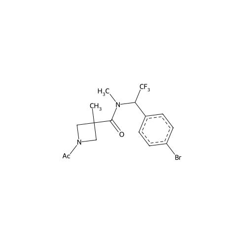 CC(=O)N1CC(C)(C(=O)N(C)C(c2ccc(Br)cc2)C(F)(F)F)C1